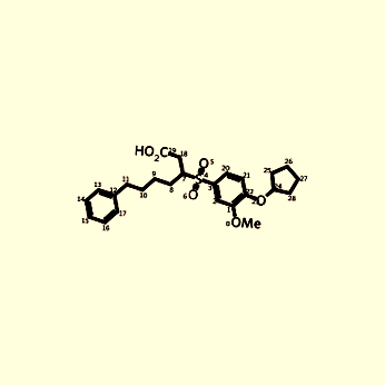 COc1cc(S(=O)(=O)C(CCCCc2ccccc2)CC(=O)O)ccc1OC1CCCC1